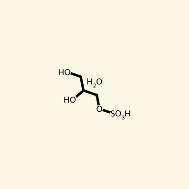 O.O=S(=O)(O)OCC(O)CO